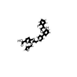 O=C(O)c1ccc2nc(CN3CCC(c4cccc5c4OCC(c4ccccc4F)N5)CC3)n(CC3CCO3)c2n1